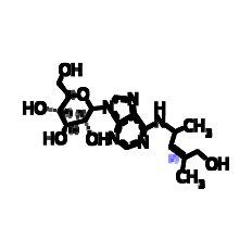 C/C(=C/C(C)Nc1ncnc2c1ncn2C1O[C@H](CO)[C@@H](O)[C@H](O)[C@H]1O)CO